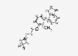 Cc1c(OCCCN2CC(F)(F)C2)cccc1-c1cccc2c1CCC2